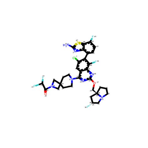 Nc1nc2c(-c3c(Cl)cc4c(N5CCC6(CC5)CN(C(=O)C(F)F)C6)nc(OC[C@@]56CCCN5C[C@H](F)C6)nc4c3F)ccc(F)c2s1